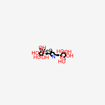 COc1cc(C#C[C@H]2O[C@H](CO)[C@@H](O)[C@H](O)[C@@H]2O)ncc1C#C[C@H]1O[C@H](CO)[C@@H](O)[C@H](O)[C@@H]1O